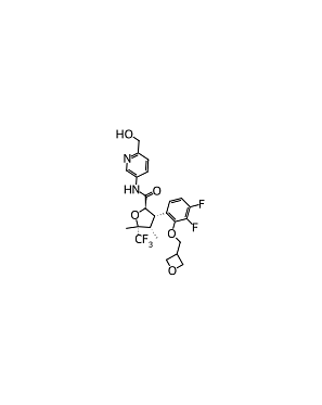 C[C@H]1[C@@H](c2ccc(F)c(F)c2OCC2COC2)[C@H](C(=O)Nc2ccc(CO)nc2)O[C@@]1(C)C(F)(F)F